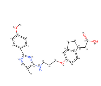 COc1ccc(-c2ncc(C)c(NCCCOc3ccc4c(c3)CC[C@H]4CC(=O)O)n2)cc1